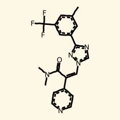 Cc1cc(-c2ncn(C=C(C(=O)N(C)C)c3ccncc3)n2)cc(C(F)(F)F)c1